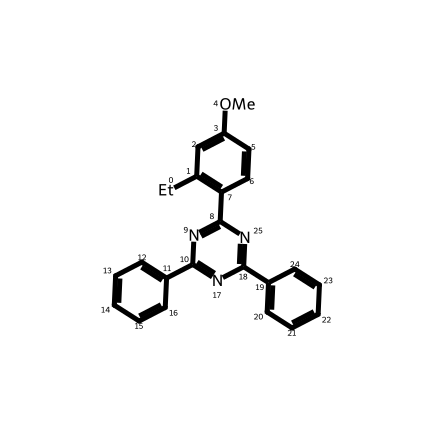 CCc1cc(OC)ccc1-c1nc(-c2ccccc2)nc(-c2ccccc2)n1